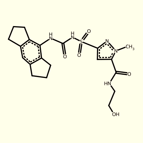 Cn1nc(S(=O)(=O)NC(=O)Nc2c3c(cc4c2CCC4)CCC3)cc1C(=O)NCCO